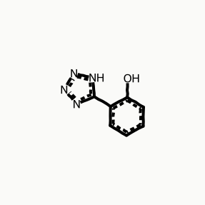 Oc1ccccc1-c1nnn[nH]1